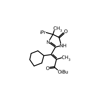 CC(C(=O)OCC(C)C)=C(C1=NC(C)(C(C)C)C(=O)N1)C1CCCCC1